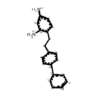 Nc1ccc(CCc2ccc(-c3ccccc3)cc2)c(N)c1